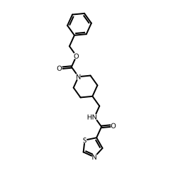 O=C(NCC1CCN(C(=O)OCc2ccccc2)CC1)c1cncs1